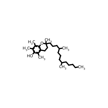 CCCCCC(C)CCCC(C)CCCC1(C)CCc2c(C)c(O)c(C)c(C)c2O1